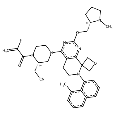 C=C(F)C(=O)N1CCN(c2nc(OC[C@@H]3CCCN3C)nc3c2CCN(c2cccc4cccc(C)c24)C32COC2)C[C@@H]1CC#N